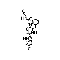 O=C(CN1C(=O)C(NC(=O)c2cc3cc(Cl)sc3[nH]2)Cc2ccccc21)NCCO